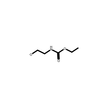 CCOC(=O)NCC[O]